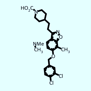 CNC.Cc1c(OCc2ccc(Cl)c(Cl)c2)ccc2c(CCC3CCN(C(=O)O)CC3)noc12